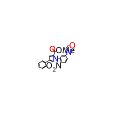 COC(=O)c1cc(-c2ccccc2)cn1-c1cc(N2CCOCC2)ccc1[N+](=O)[O-]